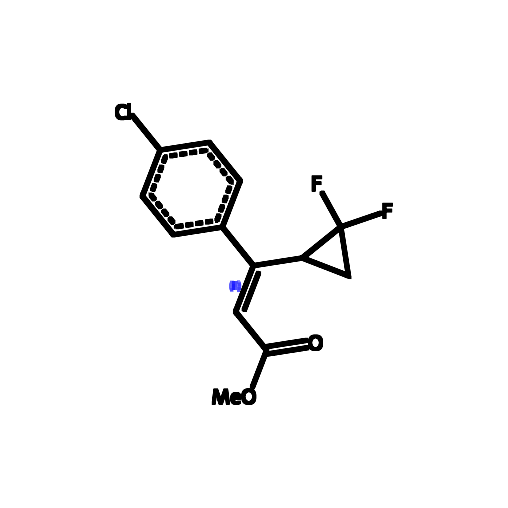 COC(=O)/C=C(/c1ccc(Cl)cc1)C1CC1(F)F